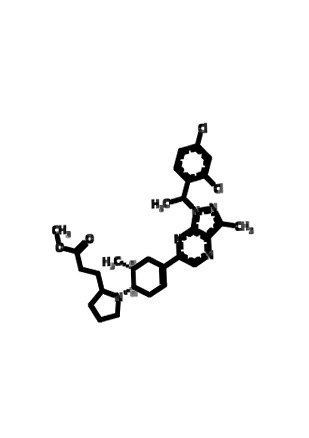 COC(=O)CCC1CCCN1[C@H]1CC=C(c2cnc3c(C)nn(C(C)c4ccc(Cl)cc4Cl)c3n2)C[C@H]1C